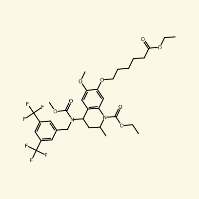 CCOC(=O)CCCCCOc1cc2c(cc1OC)C(N(Cc1cc(C(F)(F)F)cc(C(F)(F)F)c1)C(=O)OC)CC(C)N2C(=O)OCC